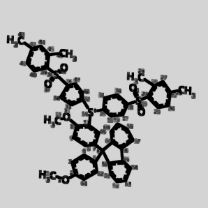 COc1ccc(C2(c3ccc(OC)c([S+](c4ccc(S(=O)(=O)c5ccc(C)cc5C)cc4)c4ccc(S(=O)(=O)c5ccc(C)cc5C)cc4)c3)c3ccccc3-c3ccccc32)cc1